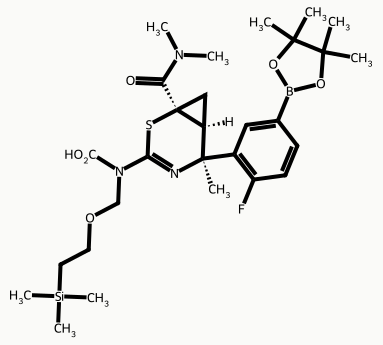 CN(C)C(=O)[C@]12C[C@H]1[C@@](C)(c1cc(B3OC(C)(C)C(C)(C)O3)ccc1F)N=C(N(COCC[Si](C)(C)C)C(=O)O)S2